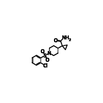 NC(=O)C1(C2CCN(S(=O)(=O)c3ccccc3Cl)CC2)CC1